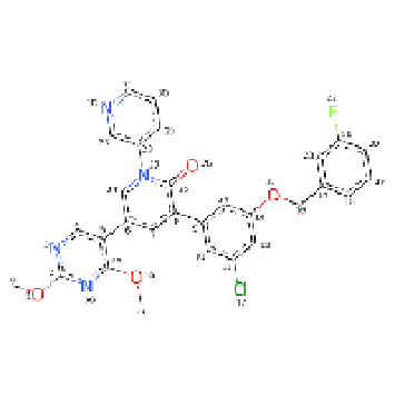 COc1ncc(-c2cc(-c3cc(Cl)cc(OCc4cccc(F)c4)c3)c(=O)n(-c3cccnc3)c2)c(OC)n1